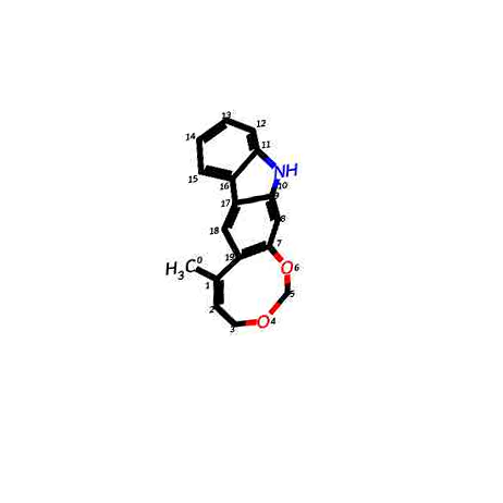 C/C1=C/COCOc2cc3[nH]c4ccccc4c3cc21